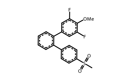 COc1c(F)cc(-c2ccccc2-c2ccc(S(C)(=O)=O)cc2)cc1F